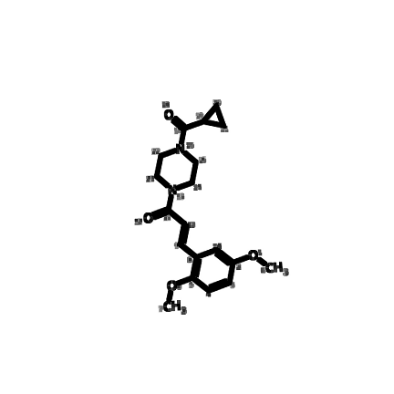 COc1ccc(OC)c(/C=C/C(=O)N2CCN(C(=O)C3CC3)CC2)c1